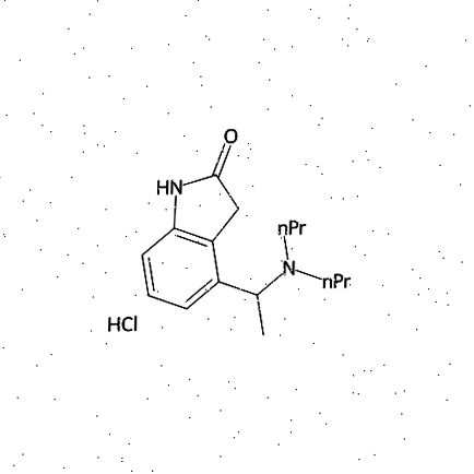 CCCN(CCC)C(C)c1cccc2c1CC(=O)N2.Cl